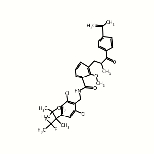 C=C(C)c1ccc(C(=O)C(C)Cc2cccc(C(=O)NCc3c(Cl)cc(C(C)(C(C)(C)C)C(C)(F)F)cc3Cl)c2OC)cc1